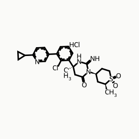 C[C@H]1C[C@@H](N2C(=N)N[C@](C)(c3cccc(-c4ccc(C5CC5)nc4)c3Cl)CC2=O)CCS1(=O)=O.Cl